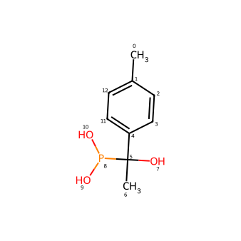 Cc1ccc(C(C)(O)P(O)O)cc1